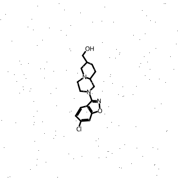 OCC1CCC2CN(c3noc4cc(Cl)ccc34)CCN2C1